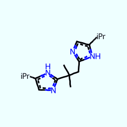 CC(C)c1cnc(CC(C)(C)c2ncc(C(C)C)[nH]2)[nH]1